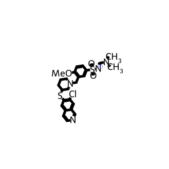 COc1ccc(S(=O)(=O)/N=C/N(C)C)cc1CN1CCCC(Sc2cc3ccncc3cc2Cl)C1